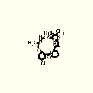 C=C1COc2ccc(Cl)cc2C(=O)N2CCCCC2c2cc3nc(C)c(C)c(n3n2)N(C)CCN1